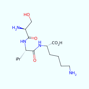 CC(C)[C@H](NC(=O)[C@@H](N)CO)C(=O)N[C@@H](CCCCN)C(=O)O